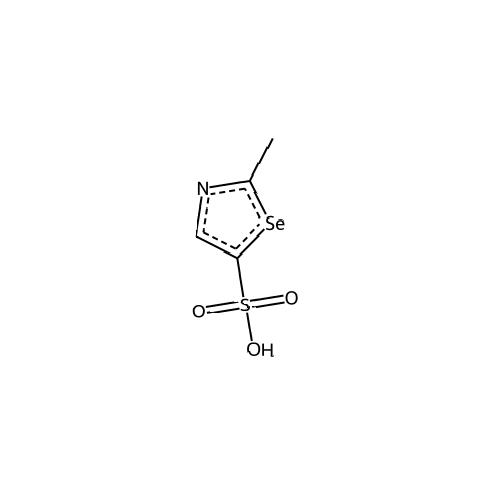 Cc1ncc(S(=O)(=O)O)[se]1